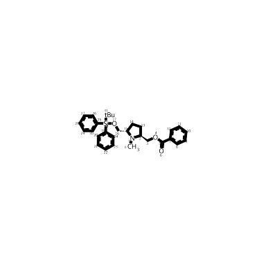 CN1[C@H](COC(=O)c2ccccc2)CC[C@H]1CO[Si](c1ccccc1)(c1ccccc1)C(C)(C)C